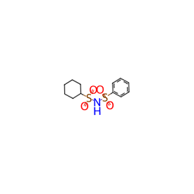 O=S(=O)(NS(=O)(=O)C1CCCCC1)c1ccccc1